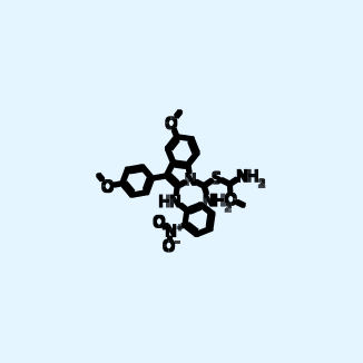 COc1ccc(-c2c(Nc3ccccc3[N+](=O)[O-])n(C(N)SC(N)OC)c3ccc(OC)cc23)cc1